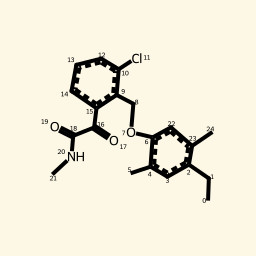 CCc1cc(C)c(OCc2c(Cl)cccc2C(=O)C(=O)NC)cc1C